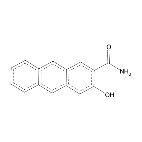 NC(=O)c1cc2cc3ccccc3cc2cc1O